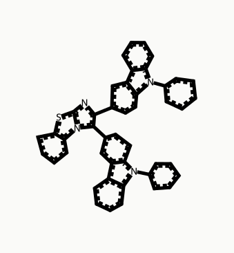 c1ccc(-n2c3ccccc3c3cc(-c4nc5sc6ccccc6n5c4-c4ccc5c(c4)c4ccccc4n5-c4ccccc4)ccc32)cc1